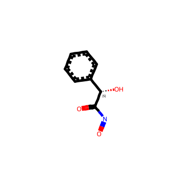 O=NC(=O)[C@@H](O)c1ccccc1